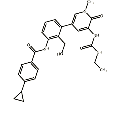 CCNC(=O)Nc1cc(-c2cccc(NC(=O)c3ccc(C4CC4)cc3)c2CO)cn(C)c1=O